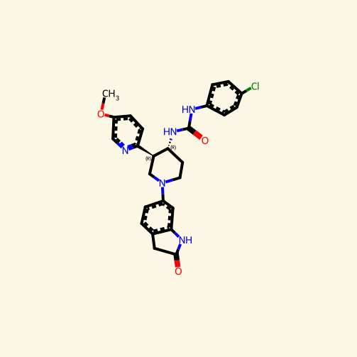 COc1ccc([C@@H]2CN(c3ccc4c(c3)NC(=O)C4)CC[C@H]2NC(=O)Nc2ccc(Cl)cc2)nc1